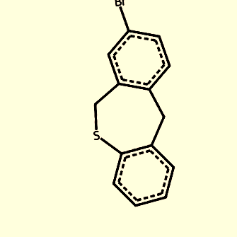 Brc1ccc2c(c1)CSc1ccccc1C2